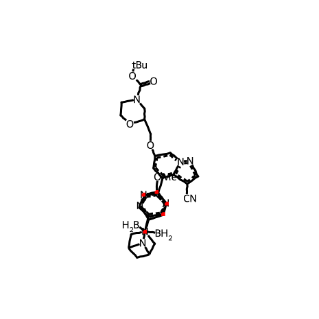 BC(B)(c1ccc(OC)nc1)N1C2CC1CN(c1cnc(-c3cc(OCC4CN(C(=O)OC(C)(C)C)CCO4)cn4ncc(C#N)c34)cn1)C2